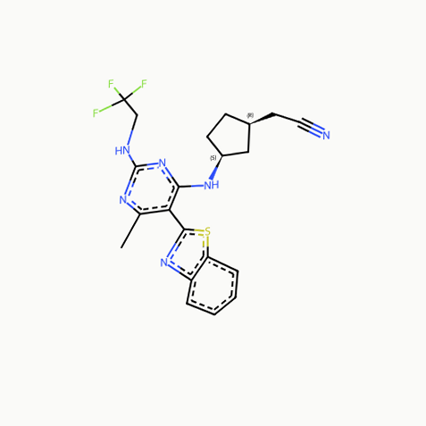 Cc1nc(NCC(F)(F)F)nc(N[C@H]2CC[C@@H](CC#N)C2)c1-c1nc2ccccc2s1